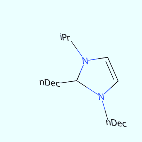 CCCCCCCCCCC1N(CCCCCCCCCC)C=CN1C(C)C